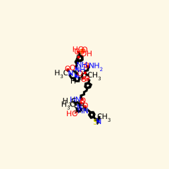 CC(=O)N1CC[C@H]2CC[C@@H](C(=O)C[C@@H](CCC(N)=O)[C@@H](C)OCc3ccc(CCCCC(=O)N[C@H](C(=O)N4C[C@H](O)C[C@H]4C(=O)NCc4ccc(-c5scnc5C)cc4)C(C)(C)C)cc3)N2C(=O)[C@@H](NC(=O)c2cc3cc(C(=O)P(=O)(O)O)ccc3[nH]2)C1